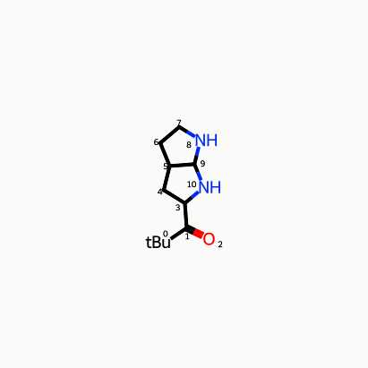 CC(C)(C)C(=O)C1CC2CCNC2N1